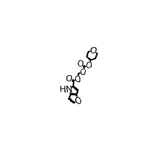 O=C(OCOC(=O)c1cc2occc2[nH]1)OC1CCOCC1